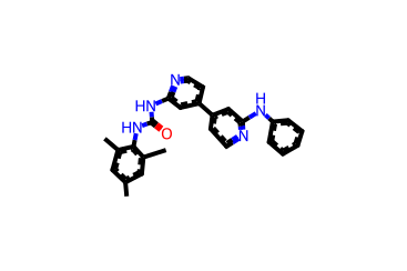 Cc1cc(C)c(NC(=O)Nc2cc(-c3ccnc(Nc4ccccc4)c3)ccn2)c(C)c1